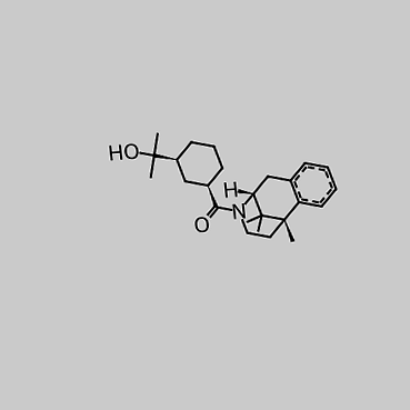 CC(C)(O)[C@H]1CCC[C@@H](C(=O)N2CC[C@@]3(C)c4ccccc4C[C@@H]2C3(C)C)C1